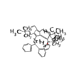 CC(C)(C)c1ccc2c(c1)=[C]([Zr]=[C](c1ccccc1)c1ccccc1)C1=C(C3=CC=CC3)C(C(C)(C)C)([Si](C)(C)C)C=CC=21